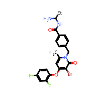 CCC(N)NC(=O)c1ccc(Cn2c(C)cc(Oc3ccc(F)cc3F)c(Br)c2=O)cc1